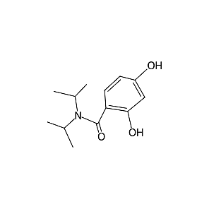 CC(C)N(C(=O)c1ccc(O)cc1O)C(C)C